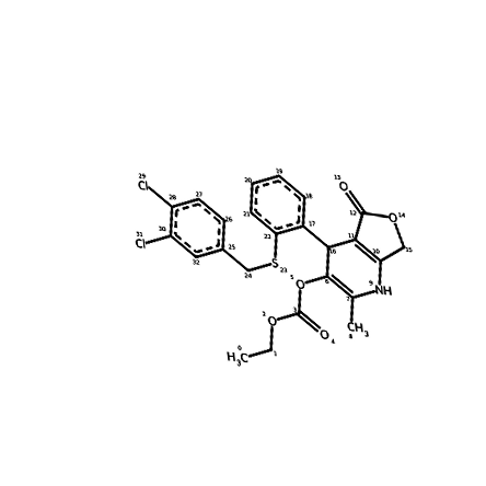 CCOC(=O)OC1=C(C)NC2=C(C(=O)OC2)C1c1ccccc1SCc1ccc(Cl)c(Cl)c1